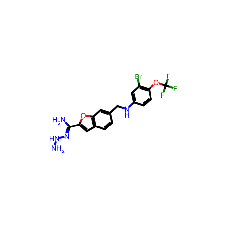 NN/N=C(\N)c1cc2ccc(CNc3ccc(OC(F)(F)F)c(Br)c3)cc2o1